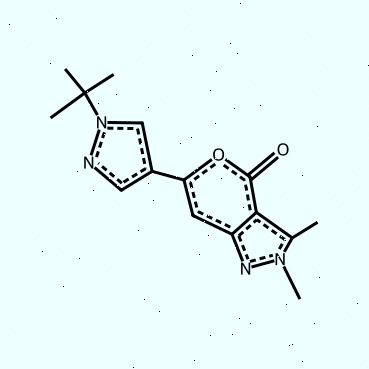 Cc1c2c(=O)oc(-c3cnn(C(C)(C)C)c3)cc2nn1C